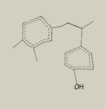 Cc1ccc(CC(C)c2ccc(O)cc2)cc1C